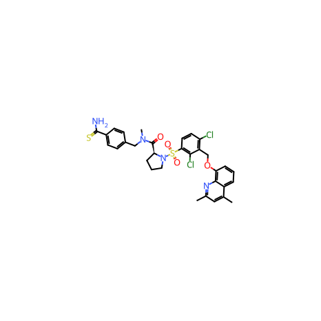 Cc1cc(C)c2cccc(OCc3c(Cl)ccc(S(=O)(=O)N4CCC[C@H]4C(=O)N(C)Cc4ccc(C(N)=S)cc4)c3Cl)c2n1